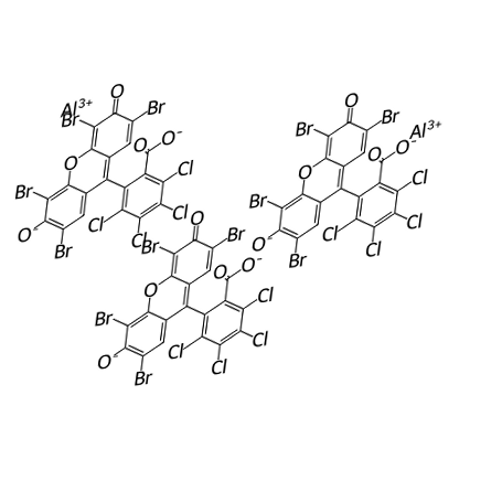 O=C([O-])c1c(Cl)c(Cl)c(Cl)c(Cl)c1-c1c2cc(Br)c(=O)c(Br)c-2oc2c(Br)c([O-])c(Br)cc12.O=C([O-])c1c(Cl)c(Cl)c(Cl)c(Cl)c1-c1c2cc(Br)c(=O)c(Br)c-2oc2c(Br)c([O-])c(Br)cc12.O=C([O-])c1c(Cl)c(Cl)c(Cl)c(Cl)c1-c1c2cc(Br)c(=O)c(Br)c-2oc2c(Br)c([O-])c(Br)cc12.[Al+3].[Al+3]